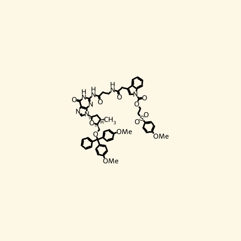 COc1ccc(C(OC[C@H]2O[C@@H](n3cnc4c(=O)[nH]c(NC(=O)CCNC(=O)Cc5cn(C(=O)OCCS(=O)(=O)c6ccc(OC)cc6)c6ccccc56)nc43)C[C@H]2C)(c2ccccc2)c2ccc(OC)cc2)cc1